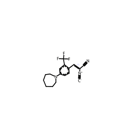 [C-]#[N+]/C(C#N)=C\c1ccc(N2CCCCCC2)cc1C(F)(F)F